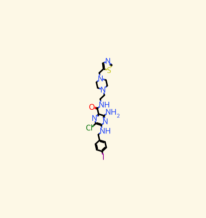 Nc1nc(NCc2ccc(I)cc2)c(Cl)nc1C(=O)NCCN1CCN(Cc2cncs2)CC1